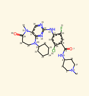 CN1CCC(NC(=O)c2cc(F)c(Nc3ncc4c(n3)N(C3CCCCC3)CCC(=O)N4C)cc2Cl)CC1